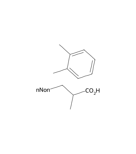 CCCCCCCCCCC(C)C(=O)O.Cc1ccccc1C